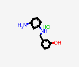 Cl.Nc1cccc(NCc2cccc(O)c2)c1